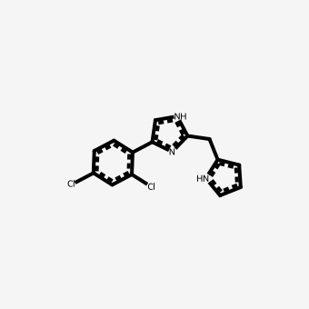 Clc1ccc(-c2c[nH]c(Cc3ccc[nH]3)n2)c(Cl)c1